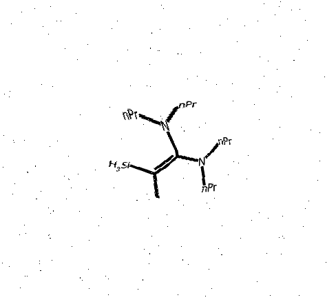 CCCN(CCC)C(=C(C)[SiH3])N(CCC)CCC